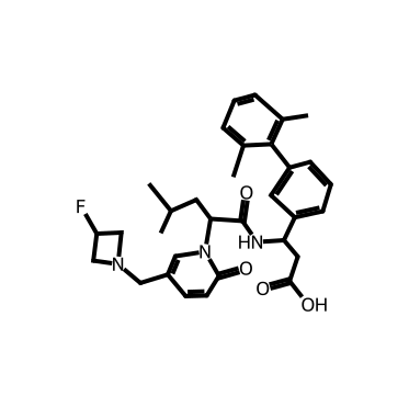 Cc1cccc(C)c1-c1cccc(C(CC(=O)O)NC(=O)C(CC(C)C)n2cc(CN3CC(F)C3)ccc2=O)c1